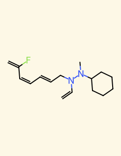 C=CN(C/C=C/C=C\C(=C)F)N(C)C1CCCCC1